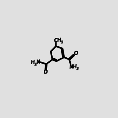 CC1C=C(C(N)=O)C=C(C(N)=O)C1